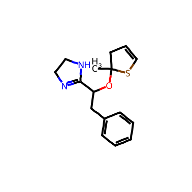 CC1(OC(Cc2ccccc2)C2=NCCN2)CC=CS1